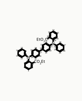 CCOC(=O)c1ccccc1N(c1ccccc1)c1ccc(-c2ccc(N(c3ccccc3)c3ccccc3C(=O)OCC)cc2)cc1